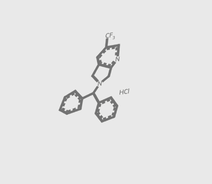 Cl.FC(F)(F)c1cnc2c(c1)CN(C(c1ccccc1)c1ccccc1)C2